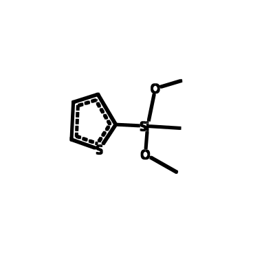 CO[Si](C)(OC)c1cccs1